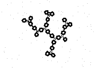 c1ccc(N(c2ccc(-c3ccc4c(c3)c3ccccc3n4-c3ccccc3)cc2)c2ccc(N(c3ccc(-c4ccc(N(c5ccc(-c6ccc(-n7c8ccccc8c8ccccc87)cc6)cc5)c5ccc(N(c6ccccc6)c6ccc(-c7ccc8c(c7)c7ccccc7n8-c7ccccc7)cc6)cc5)cc4)cc3)c3ccc(-c4ccc(-n5c6ccccc6c6ccccc65)cc4)cc3)cc2)cc1